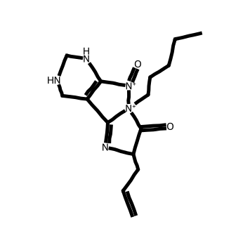 C=CCC1N=C2C3=C(NCNC3)[N+](=O)[N+]2(CCCCC)C1=O